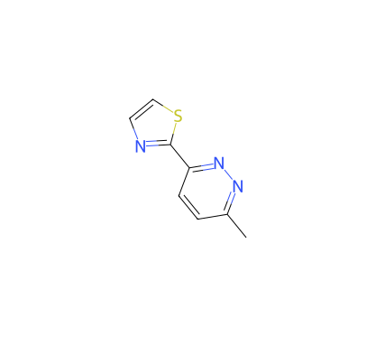 Cc1ccc(-c2nccs2)nn1